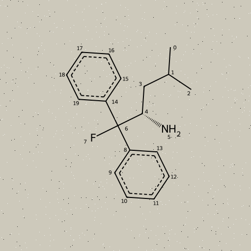 CC(C)C[C@H](N)C(F)(c1ccccc1)c1ccccc1